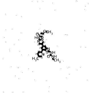 CCNC(=O)Nc1nc2cc(-c3cnc(NS(=O)(=O)CCOC)nc3)cc(-c3ccc(C)cn3)c2s1